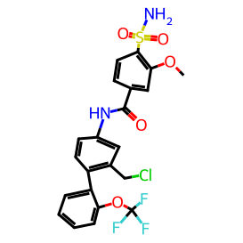 COc1cc(C(=O)Nc2ccc(-c3ccccc3OC(F)(F)F)c(CCl)c2)ccc1S(N)(=O)=O